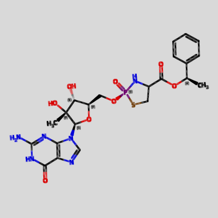 C[C@@H](OC(=O)C1CS[P@@](=O)(OC[C@H]2O[C@@H](n3cnc4c(=O)[nH]c(N)nc43)[C@](C)(O)[C@@H]2O)N1)c1ccccc1